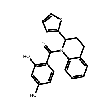 O=C(c1ccc(O)cc1O)N1c2ccccc2CCC1c1cccs1